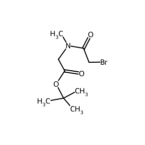 CN(CC(=O)OC(C)(C)C)C(=O)CBr